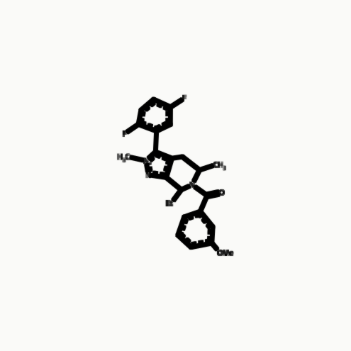 CCC1c2nn(C)c(-c3cc(F)ccc3F)c2CC(C)N1C(=O)c1cccc(OC)c1